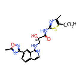 Cc1nc(-c2ccc3ccnc(NC[C@H](O)C(=O)Nc4nc(C)c(C(=O)O)s4)c3c2)no1